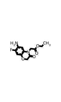 CCOC(=O)CN1C(=O)COc2cc(F)c(N)cc21